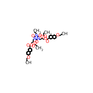 C#CCOc1ccc2cc(C(=O)OCC(Cn3c(=O)n(CC=C)c(=O)n(CC(COC(=O)c4ccc5cc(OCC#C)ccc5c4)OC(=O)C=C)c3=O)OC(=O)C=C)ccc2c1